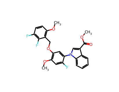 COC(=O)c1cn(-c2cc(OCc3c(OC)ccc(F)c3F)c(OC)cc2F)c2ccccc12